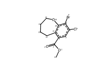 COC(=O)c1cc(Cl)c(Br)c2c1CCCCO2